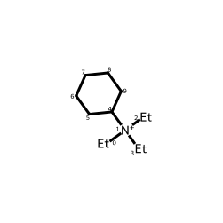 CC[N+](CC)(CC)C1CCCCC1